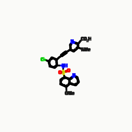 CNc1cc(C#Cc2cc(Cl)ccc2NS(=O)(=O)c2ccc(OC)c3cccnc23)cnc1C(=O)O